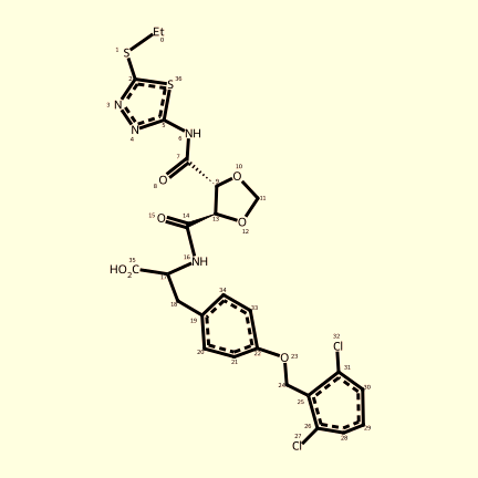 CCSc1nnc(NC(=O)[C@@H]2OCO[C@H]2C(=O)NC(Cc2ccc(OCc3c(Cl)cccc3Cl)cc2)C(=O)O)s1